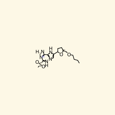 CCCCOC[C@@H]1CCC(c2cnc(/C(N)=N\C(=N)S(C)(=O)=O)[nH]2)O1